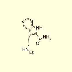 CCNCCc1c(C(N)=O)[nH]c2cc[c]cc12